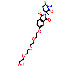 CC1(N2C(=O)c3ccc(OCCOCCOCCOCCO)cc3C2=O)CCC(=O)NC1=O